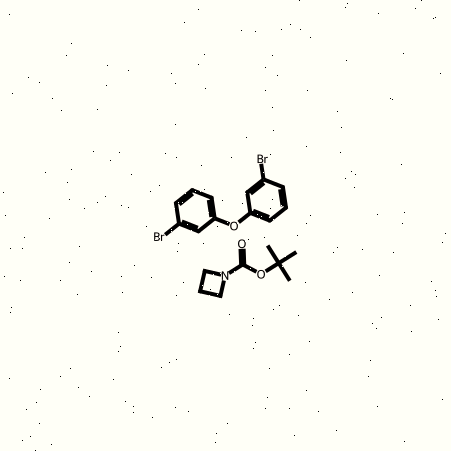 Brc1cccc(Oc2cccc(Br)c2)c1.CC(C)(C)OC(=O)N1CCC1